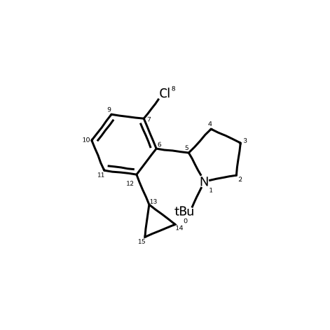 CC(C)(C)N1CCCC1c1c(Cl)cccc1C1CC1